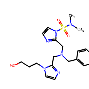 CN(C)S(=O)(=O)n1ccnc1CN(Cc1ccccc1)Cc1nccn1CCCO